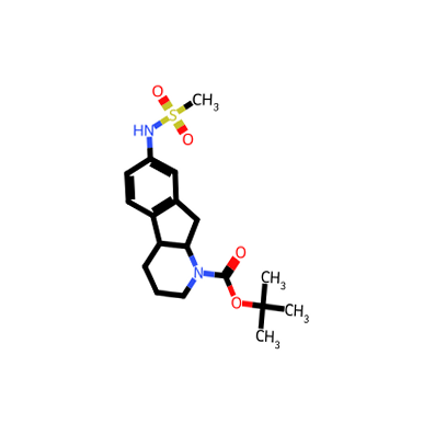 CC(C)(C)OC(=O)N1CCCC2c3ccc(NS(C)(=O)=O)cc3CC21